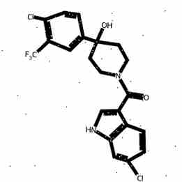 O=C(c1c[nH]c2cc(Cl)ccc12)N1CCC(O)(c2ccc(Cl)c(C(F)(F)F)c2)CC1